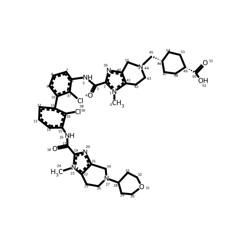 Cn1c(C(=O)Nc2cccc(-c3cccc(NC(=O)c4nc5c(n4C)CCN(C4CCOCC4)C5)c3Cl)c2Cl)nc2c1CCN(C[C@H]1CC[C@@H](C(=O)O)CC1)C2